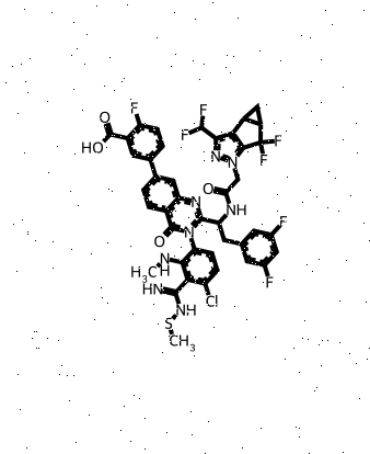 CNc1c(-n2c(C(Cc3cc(F)cc(F)c3)NC(=O)Cn3nc(C(F)F)c4c3C(F)(F)C3CC43)nc3cc(-c4ccc(F)c(C(=O)O)c4)ccc3c2=O)ccc(Cl)c1C(=N)NSC